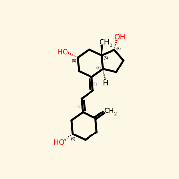 C=C1CC[C@H](O)C/C1=C/C=C1\C[C@H](O)C[C@]2(C)[C@H](O)CC[C@@H]12